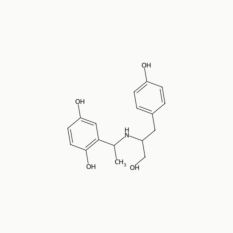 CC(NC(CO)Cc1ccc(O)cc1)c1cc(O)ccc1O